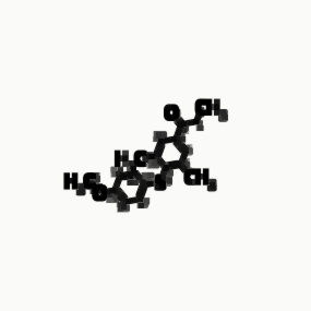 CCC(=O)c1cc(C)c(Sc2ccc(OC)cc2)c(C)c1